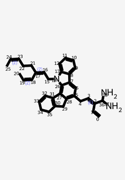 C=C/C(=C\Cc1cc2c3ccccc3n(C/C=C(\C=C/C)CC/C=C\C)c2c2c1CC1=C2C=CCC1)C(N)N